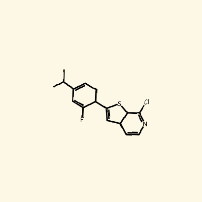 CC(C)C1=CCC(C2=CC3C=CN=C(Cl)C3S2)C(F)=C1